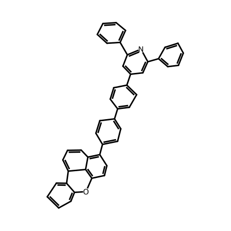 c1ccc(-c2cc(-c3ccc(-c4ccc(-c5ccc6c7c(cccc57)-c5ccccc5O6)cc4)cc3)cc(-c3ccccc3)n2)cc1